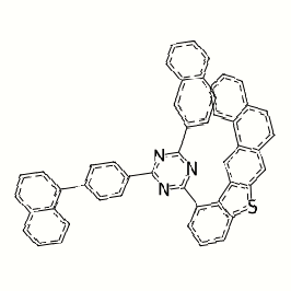 c1ccc2cc(-c3nc(-c4ccc(-c5cccc6ccccc56)cc4)nc(-c4cccc5sc6cc7ccc8ccccc8c7cc6c45)n3)ccc2c1